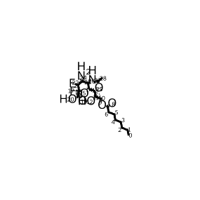 CCCCCCCC(=O)OC[C@@H](O)CC1O[C@@](F)(C(=O)O)C(F)C(N)C1NC(C)=O